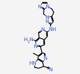 Cc1c(-c2cc3cc(Nc4cc5n(n4)Cc4nccn4CC5)ncc3c(N)n2)cnc2c1NCCC2C#N